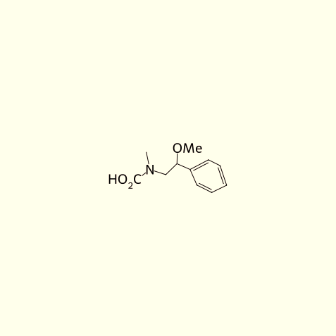 COC(CN(C)C(=O)O)c1ccccc1